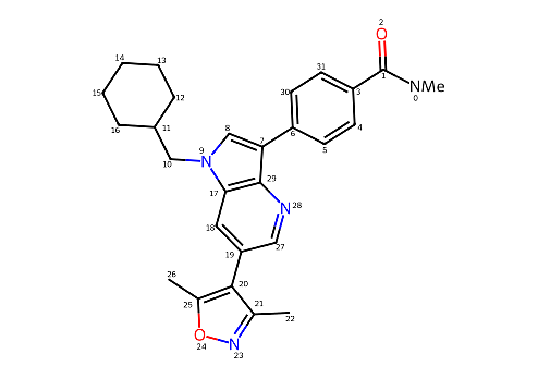 CNC(=O)c1ccc(-c2cn(CC3CCCCC3)c3cc(-c4c(C)noc4C)cnc23)cc1